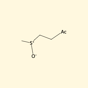 CC(=O)CC[S+](C)[O-]